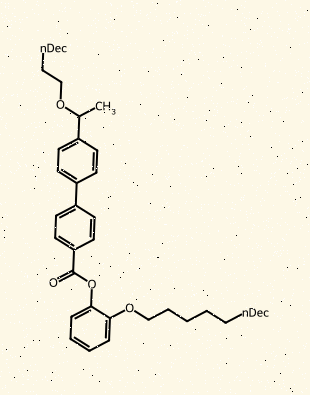 CCCCCCCCCCCCCCCOc1ccccc1OC(=O)c1ccc(-c2ccc(C(C)OCCCCCCCCCCCC)cc2)cc1